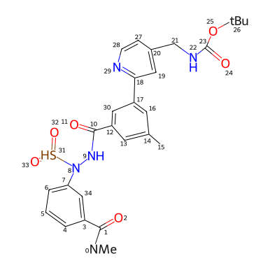 CNC(=O)c1cccc(N(NC(=O)c2cc(C)cc(-c3cc(CNC(=O)OC(C)(C)C)ccn3)c2)[SH](=O)=O)c1